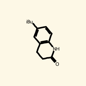 CCC(C)c1ccc2c(c1)CCC(=O)N2